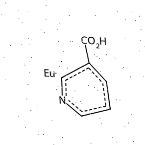 O=C(O)c1cccnc1.[Eu]